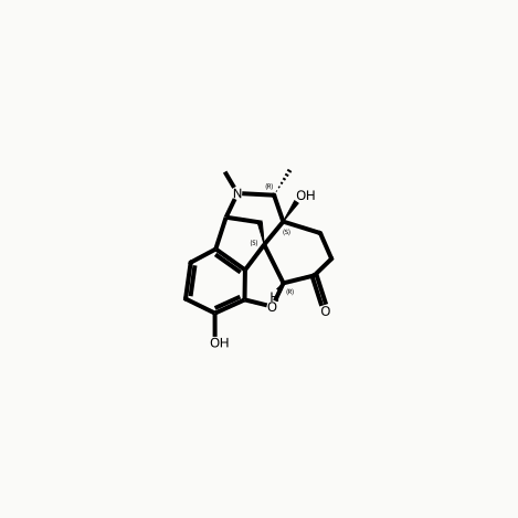 C[C@H]1N(C)C2C[C@]34c5c2ccc(O)c5O[C@H]3C(=O)CC[C@@]14O